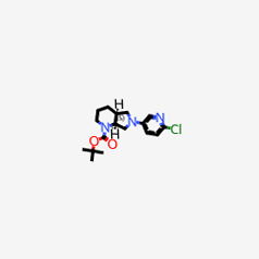 CC(C)(C)OC(=O)N1CCC[C@H]2CN(c3ccc(Cl)nc3)C[C@H]21